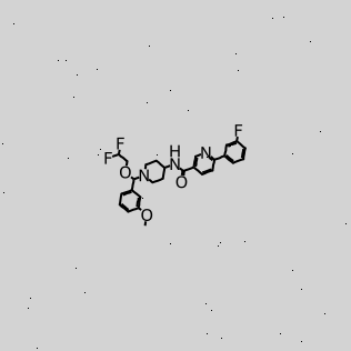 COc1cccc(C(OCC(F)F)N2CCC(NC(=O)c3ccc(-c4cccc(F)c4)nc3)CC2)c1